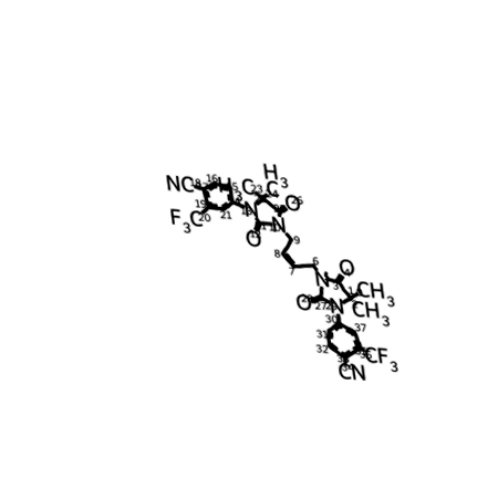 CC1(C)C(=O)N(C/C=C\CN2C(=O)N(c3ccc(C#N)c(C(F)(F)F)c3)C(C)(C)C2=O)C(=O)N1c1ccc(C#N)c(C(F)(F)F)c1